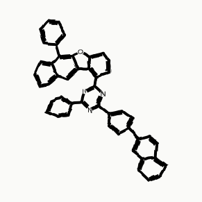 c1ccc(-c2nc(-c3ccc(-c4ccc5ccccc5c4)cc3)nc(-c3cccc4oc5c(-c6ccccc6)c6ccccc6cc5c34)n2)cc1